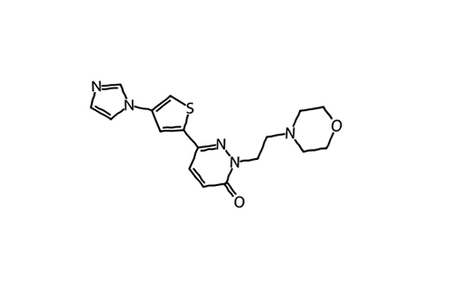 O=c1ccc(-c2cc(-n3ccnc3)cs2)nn1CCN1CCOCC1